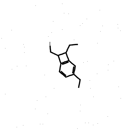 CCc1ccc2c(c1)C(CC)C2CI